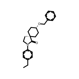 CCc1ccc(N2CC[C@]3(CC[C@@H](OCc4ccccc4)CC3)C2=O)cc1